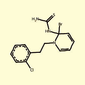 NC(=S)NC1(Br)C=CC=CN1CCc1ccccc1Cl